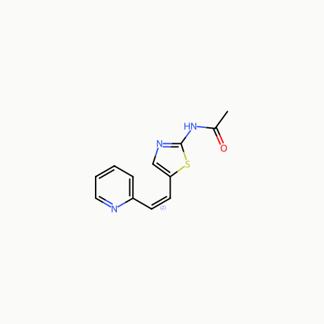 CC(=O)Nc1ncc(/C=C\c2ccccn2)s1